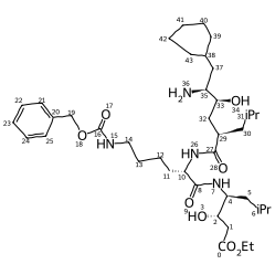 CCOC(=O)C[C@H](O)[C@H](CC(C)C)NC(=O)[C@H](CCCCNC(=O)OCc1ccccc1)NC(=O)[C@H](CC(C)C)C[C@H](O)[C@@H](N)CC1CCCCC1